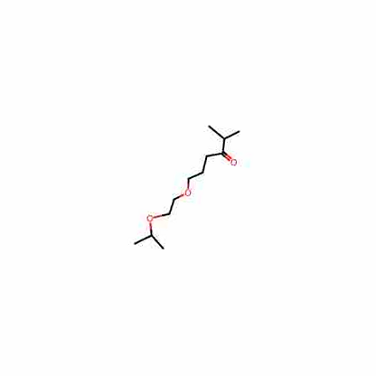 CC(C)OCCOCCCC(=O)C(C)C